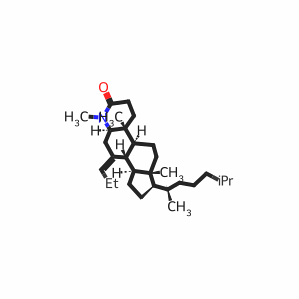 CC/C=C1/C[C@H]2N(C)C(=O)CC[C@]2(C)[C@H]2CC[C@]3(C)[C@@H]([C@H](C)CCCC(C)C)CC[C@H]3[C@H]12